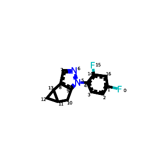 Fc1ccc(-n2ncc3c2CC2CC32)c(F)c1